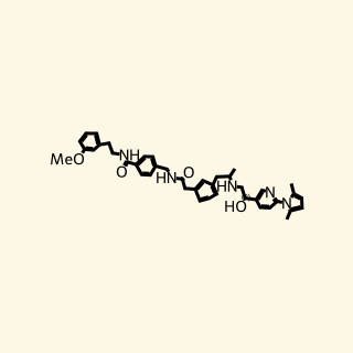 COc1cccc(CCNC(=O)c2ccc(CNC(=O)Cc3cccc(CC(C)NC[C@H](O)c4ccc(-n5c(C)ccc5C)nc4)c3)cc2)c1